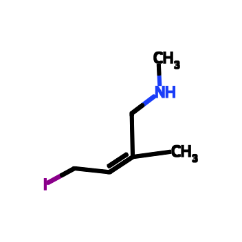 CNC/C(C)=C\CI